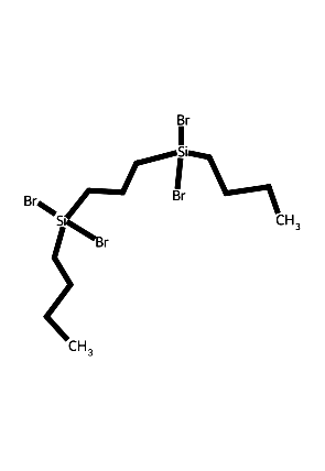 CCCC[Si](Br)(Br)CCC[Si](Br)(Br)CCCC